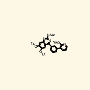 CCOc1cc2nc(NC)nc(-c3cccc(-c4cccnc4SC)c3)c2cc1OCC